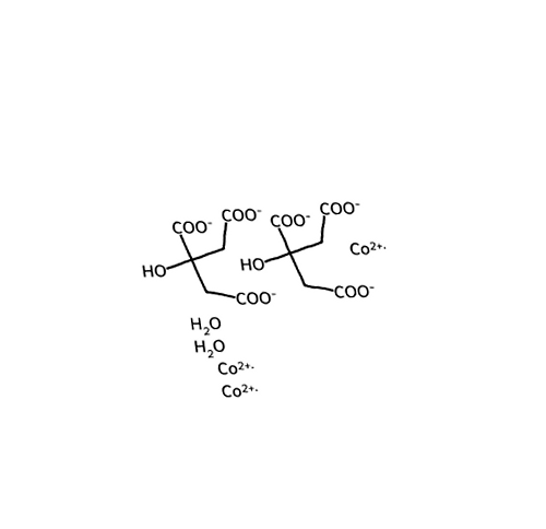 O.O.O=C([O-])CC(O)(CC(=O)[O-])C(=O)[O-].O=C([O-])CC(O)(CC(=O)[O-])C(=O)[O-].[Co+2].[Co+2].[Co+2]